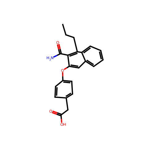 CCCc1c(C(N)=O)c(Oc2ccc(CC(=O)O)cc2)cc2ccccc12